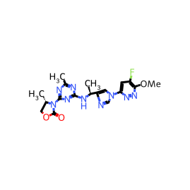 COc1nnc(-n2cnc([C@H](C)Nc3nc(C)nc(N4C(=O)OC[C@@H]4C)n3)c2)cc1F